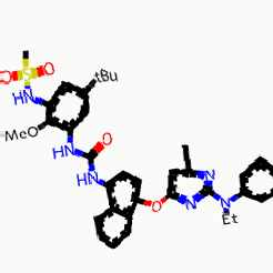 CCN(c1ccccc1)c1nc(C)cc(Oc2ccc(NC(=O)Nc3cc(C(C)(C)C)cc(NS(C)(=O)=O)c3OC)c3ccccc23)n1